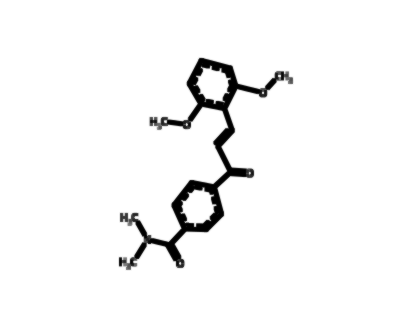 COc1cccc(OC)c1C=CC(=O)c1ccc(C(=O)N(C)C)cc1